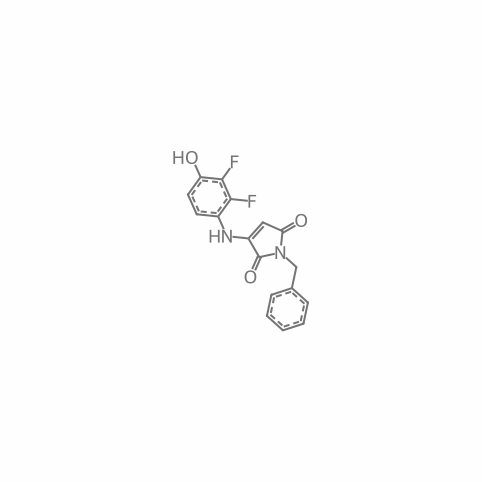 O=C1C=C(Nc2ccc(O)c(F)c2F)C(=O)N1Cc1ccccc1